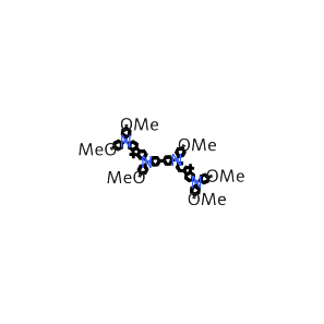 C=C(/C=C\C1=CC(C)(C)c2cc(N(c3ccc(OC)cc3)c3ccc(OC)cc3)ccc21)N(c1ccc(OC)cc1)c1ccc(-c2ccc(N(c3ccc(OC)cc3)c3ccc4c(c3)C(C)(C)c3cc(N(c5ccc(OC)cc5)c5ccc(OC)cc5)ccc3-4)cc2)cc1